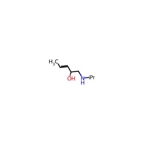 CC=CC(O)CNC(C)C